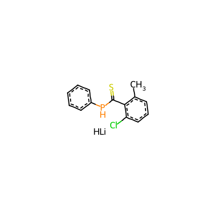 Cc1cccc(Cl)c1C(=S)Pc1ccccc1.[LiH]